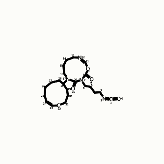 O=C=NCCCCN1C(=O)OC=NCCCCN(C2CCCCC=CCCCC2)C1=O